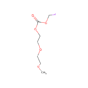 COCCOCCOC(=O)OCI